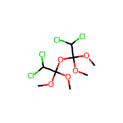 COC(OC)(OC(OC)(OC)C(Cl)Cl)C(Cl)Cl